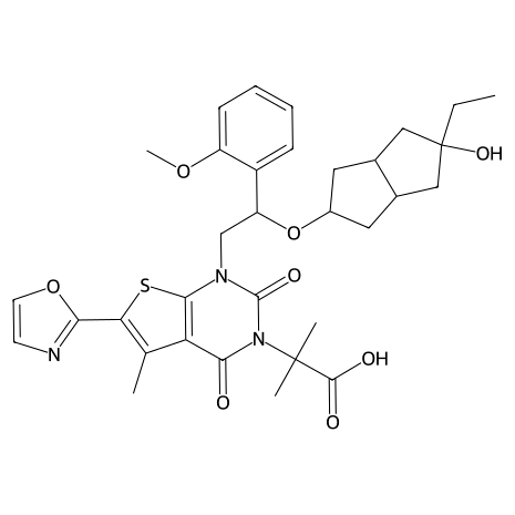 CCC1(O)CC2CC(OC(Cn3c(=O)n(C(C)(C)C(=O)O)c(=O)c4c(C)c(-c5ncco5)sc43)c3ccccc3OC)CC2C1